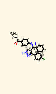 CCCC(=O)c1ccc(NC(c2ccccc2)c2c[nH]nc2-c2ccc(F)cc2)cc1